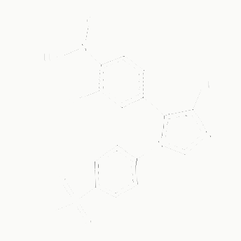 CN(C)c1ccc(-c2c(Cl)ncn2-c2ccc(S(C)(=O)=O)cc2)cc1Cl